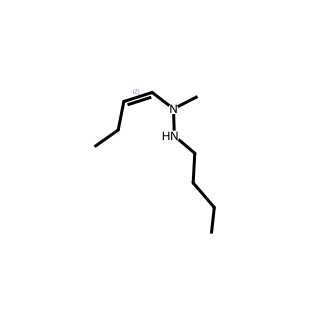 CC/C=C\N(C)NCCCC